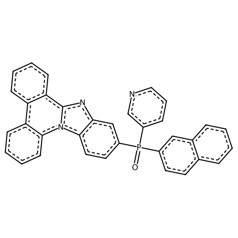 O=P(c1cccnc1)(c1ccc2ccccc2c1)c1ccc2c(c1)nc1c3ccccc3c3ccccc3n21